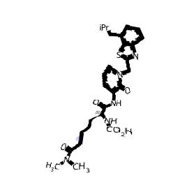 CC(C)Cc1cccc2nc(Cn3cccc(NC(=O)[C@H](CC/C=C/C(=O)N(C)C)NC(=O)O)c3=O)sc12